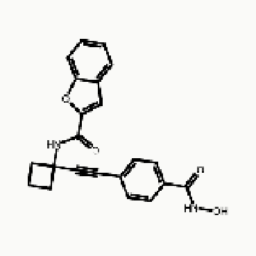 O=C(NO)c1ccc(C#CC2(NC(=O)c3cc4ccccc4o3)CCC2)cc1